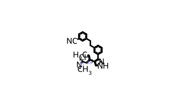 C=C/C(=C\C(C)=N/C)c1c[nH]nc1-c1cccc(CCc2cccc(C#N)c2)c1